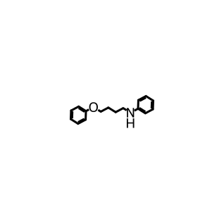 c1ccc(NCCCCOc2ccccc2)cc1